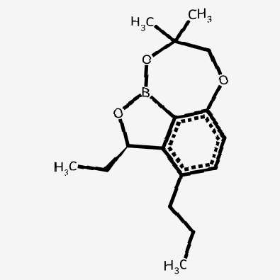 CCCc1ccc2c3c1[C@@H](CC)OB3OC(C)(C)CO2